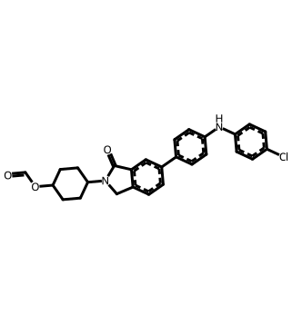 O=COC1CCC(N2Cc3ccc(-c4ccc(Nc5ccc(Cl)cc5)cc4)cc3C2=O)CC1